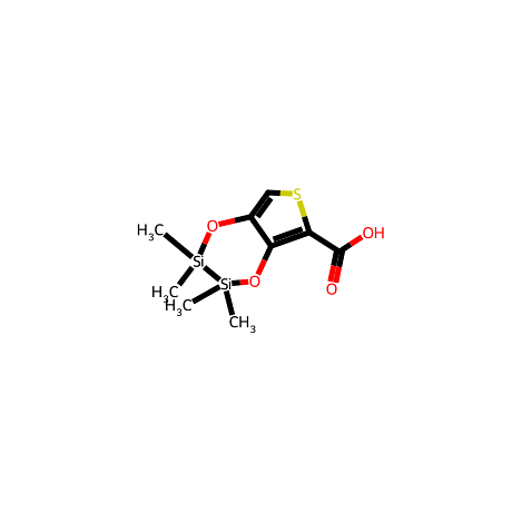 C[Si]1(C)Oc2csc(C(=O)O)c2O[Si]1(C)C